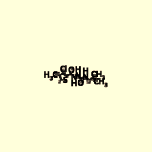 Cc1csc(C(=O)NNC(=O)NCC(C)C)c1Cl